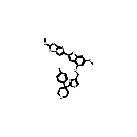 COc1cc(OCc2csc(C3(c4ccc(C)cc4)CCOCC3)n2)c2cc(-c3cn4c(n3)SC(OC)N4)oc2c1